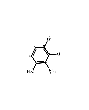 Cc1ccc(Br)c(Cl)c1[N+](=O)[O-]